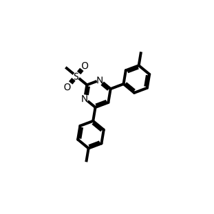 Cc1ccc(-c2cc(-c3cccc(C)c3)nc(S(C)(=O)=O)n2)cc1